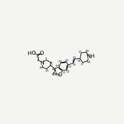 O=C(O)CN1CCC(c2noc3cc(/C=C/C4CCNCC4)ccc23)CC1